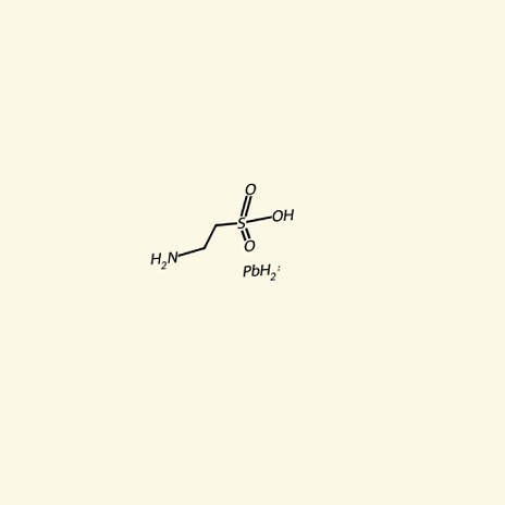 NCCS(=O)(=O)O.[PbH2]